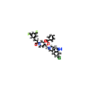 O=C(O[C@H](CN1CCC2(CC1)CNc1cc(Cl)ccc12)C1CCN(C(=O)/C=C/c2cc(F)cc(F)c2)CC1)c1ccccc1